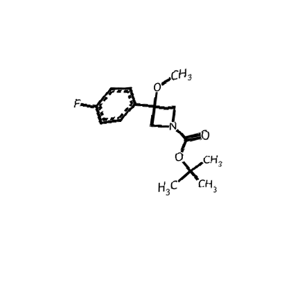 COC1(c2ccc(F)cc2)CN(C(=O)OC(C)(C)C)C1